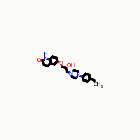 CCc1ccc(N2CCN(C[C@H](O)COc3ccc4c(c3)CCC(=O)N4)CC2)cc1